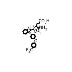 CC(NC(CCC(=O)O)C(N)=O)c1nc2ccccc2n1-c1ccc(Oc2ccc(C(F)(F)F)cc2)cc1